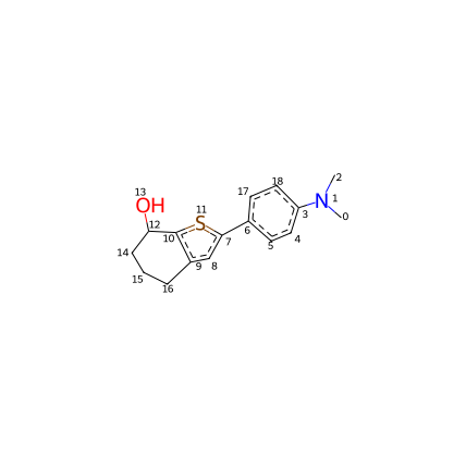 CN(C)c1ccc(-c2cc3c(s2)C(O)CCC3)cc1